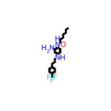 CCCCCCC(=O)Nc1ccc(NCCCc2ccc(C(F)(F)F)cc2)cc1N